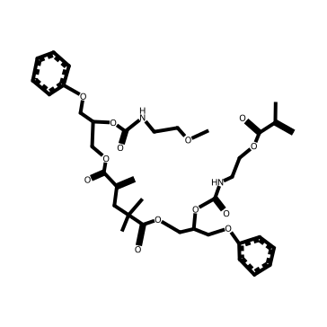 C=C(C)C(=O)OCCNC(=O)OC(COC(=O)C(C)(C)CC(=C)C(=O)OCC(COc1ccccc1)OC(=O)NCCOC)COc1ccccc1